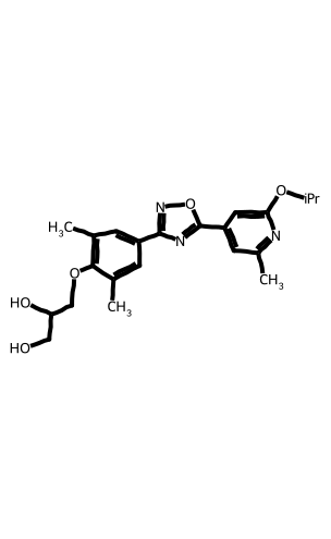 Cc1cc(-c2nc(-c3cc(C)c(OCC(O)CO)c(C)c3)no2)cc(OC(C)C)n1